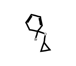 BrC1(OC2CC2)C=CC=CC1